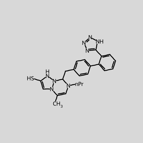 CCCN1C=C(C)N2C=C(S)NN2C1Cc1ccc(-c2ccccc2-c2nnn[nH]2)cc1